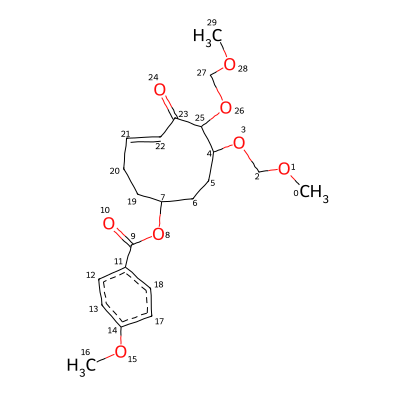 COCOC1CCC(OC(=O)c2ccc(OC)cc2)CC/C=C/C(=O)C1OCOC